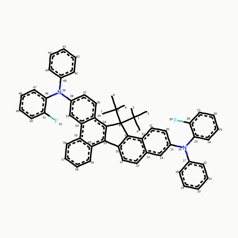 CC(C)(C)C1(C(C)(C)C)c2c(ccc3cc(N(c4ccccc4)c4ccccc4F)ccc23)-c2c1c1ccc(N(c3ccccc3)c3ccccc3F)cc1c1ccccc21